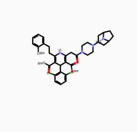 COC(=O)C1=C(CCc2ccccc2OC)NC(CC(=O)N2CCN(C3CC4CCC(C3)N4C)CC2)=C(C(=O)OC)C1c1c(Cl)cccc1Cl